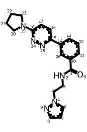 O=C(NCCn1cccn1)c1cccc(-c2ccc(N3CCCC3)nn2)c1